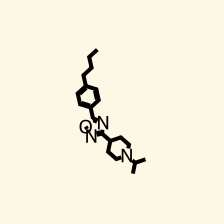 CCCCc1ccc(-c2nc(C3CCN(C(C)C)CC3)no2)cc1